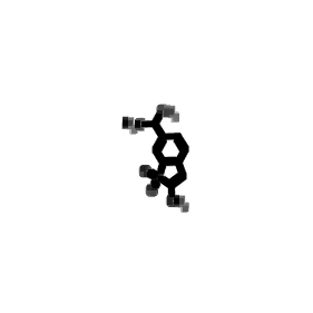 CC1=Cc2ccc(C(C)C)cc2S1(=O)=O